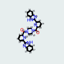 C[C@@H]1[C@H](C)N(C(=O)c2cccc(-c3nc4ccccc4[nH]3)n2)CCN1C(=O)c1cccc(-c2nc3ccccc3[nH]2)n1